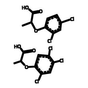 CC(Oc1cc(Cl)c(Cl)cc1Cl)C(=O)O.CC(Oc1ccc(Cl)cc1Cl)C(=O)O